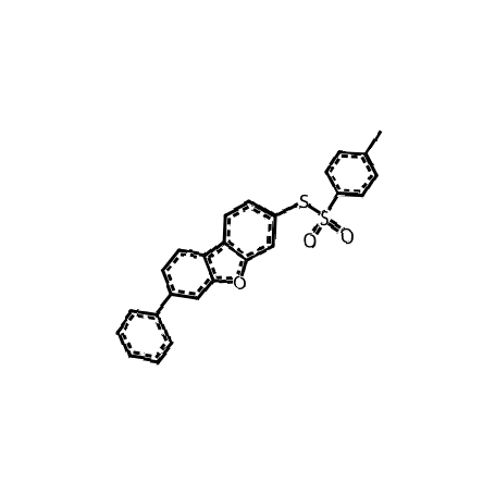 Cc1ccc(S(=O)(=O)Sc2ccc3c(c2)oc2cc(-c4ccccc4)ccc23)cc1